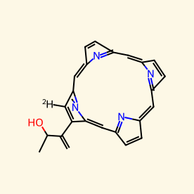 [2H]C1=C(C(=C)C(C)O)C2=CC3=NC(=CC4=NC(=CC5=NC(=CC1=N2)C=C5)C=C4)C=C3